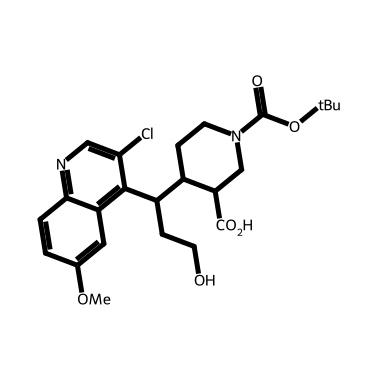 COc1ccc2ncc(Cl)c(C(CCO)C3CCN(C(=O)OC(C)(C)C)CC3C(=O)O)c2c1